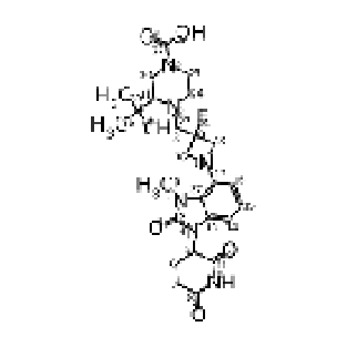 Cn1c(=O)n(C2CCC(=O)NC2=O)c2cccc(N3CC(F)(CN4CCN(C(=O)O)CC4C(C)(C)C)C3)c21